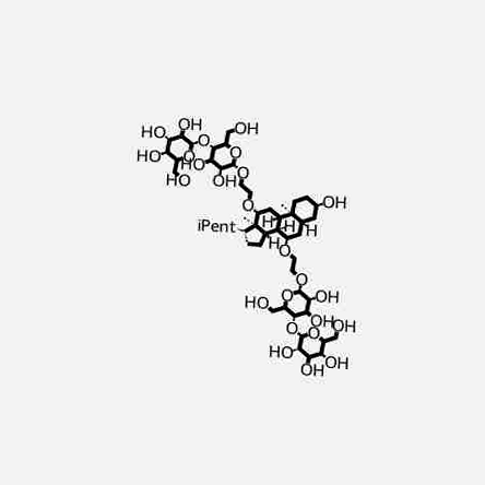 CCC[C@@H](C)[C@H]1CC[C@H]2[C@@H]3[C@H](OCCO[C@@H]4OC(CO)[C@@H](O[C@H]5OC(CO)[C@@H](O)C(O)[C@@H]5O)C(O)[C@@H]4O)C[C@@H]4C[C@H](O)CC[C@]4(C)[C@H]3C[C@H](OCCO[C@@H]3OC(CO)[C@@H](O[C@H]4OC(CO)[C@@H](O)[C@H](O)C4O)C(O)[C@@H]3O)[C@]12C